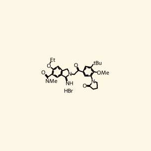 Br.CCOc1cc2c(cc1C(=O)NC)C(=N)N(CC(=O)c1cc(N3CCCC3=O)c(OC)c(C(C)(C)C)c1)C2